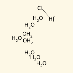 O.O.O.O.O.O.O.O.[Cl][Hf]